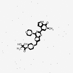 Cn1cc(-c2nc(N3CCOCC3)c3sc(CN4CCN(C(=O)C(C)(C)O)CC4)cc3n2)c2cc[nH]c2c1=O